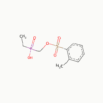 CCP(=O)(O)COS(=O)(=O)c1ccccc1C